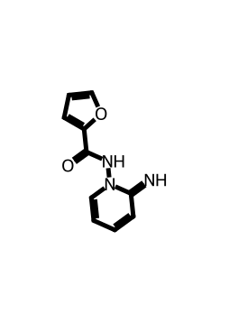 N=c1ccccn1NC(=O)c1ccco1